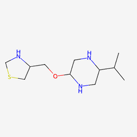 CC(C)C1CNC(OCC2CSCN2)CN1